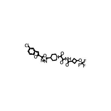 O=C(NC(=O)C1CC(OC(F)(F)F)C1)C(=O)N1CCC(c2nnc(-c3cc4cc(Cl)ccc4o3)o2)CC1